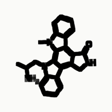 CC(N)Cn1c2ccccc2c2c3c(c4c5ccccc5n(C)c4c21)C(=O)NC3